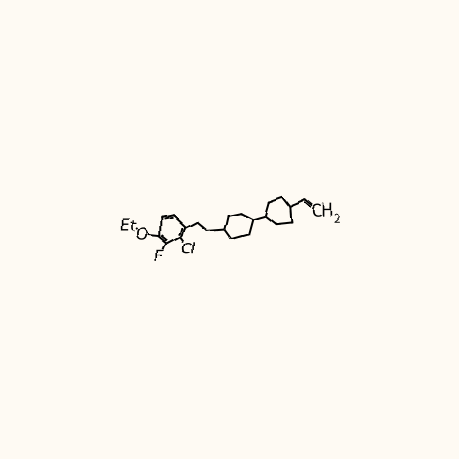 C=CC1CCC(C2CCC(CCc3ccc(OCC)c(F)c3Cl)CC2)CC1